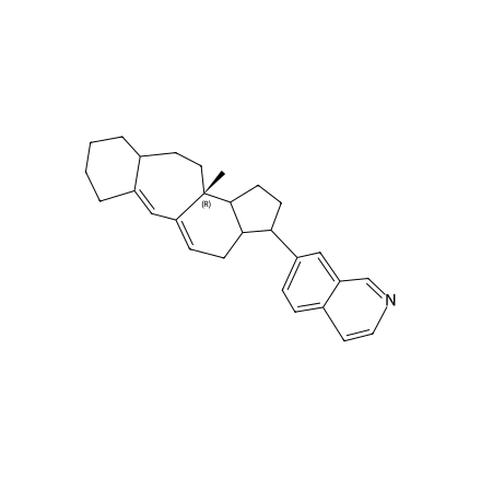 C[C@]12CCC3CCCCC3=CC1=CCC1C(c3ccc4ccncc4c3)CCC12